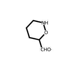 O=[C]C1CCCNO1